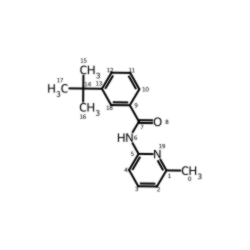 Cc1cccc(NC(=O)c2cccc(C(C)(C)C)c2)n1